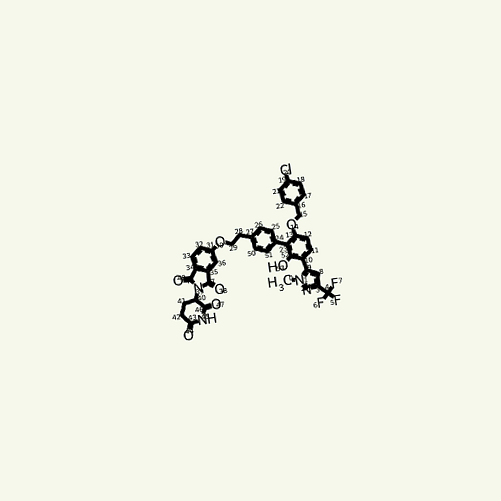 Cn1nc(C(F)(F)F)cc1-c1ccc(OCc2ccc(Cl)cc2)c(-c2ccc(CCOc3ccc4c(c3)C(=O)N(C3CCC(=O)NC3=O)C4=O)cc2)c1O